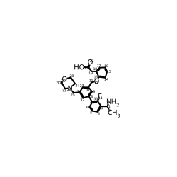 CC(N)c1cccc(-c2cc(COc3ccccc3CC(=O)O)cc(CN3CCOCC3)c2)c1F